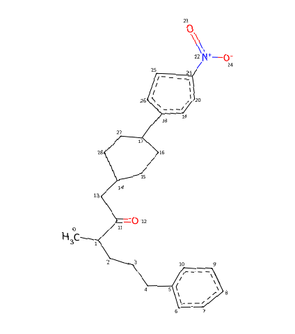 CC(CCCc1ccccc1)C(=O)CC1CCC(c2ccc([N+](=O)[O-])cc2)CC1